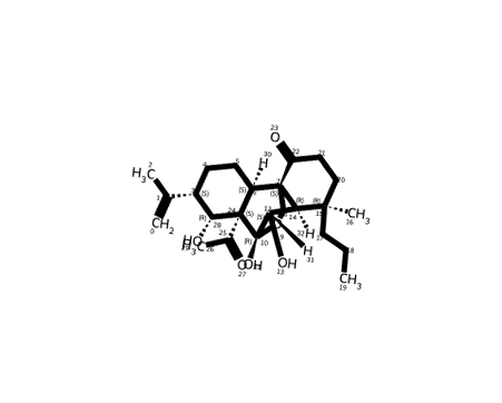 C=C(C)[C@@H]1CC[C@H]2[C@@]34CO[C@@](O)([C@@H](O)[C@@H]3[C@](C)(CCC)CCC4=O)[C@@]2(C(C)=O)[C@@H]1O